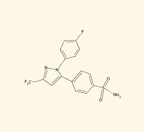 NS(=O)(=O)c1ccc(-c2cc(C(F)(F)F)nn2-c2ccc(F)cc2)cc1